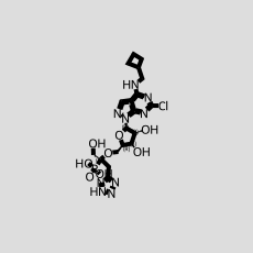 O=P(O)(O)[C@](CO)(Cc1nn[nH]n1)OC[C@H]1O[C@@H](n2ncc3c(NCC4CCC4)nc(Cl)nc32)[C@H](O)[C@@H]1O